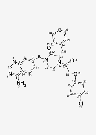 Nc1ncnc2cc(CN3CCN(C(=O)COc4ccc(Cl)cc4)[C@@H](Cc4ccccc4)C3=O)ccc12